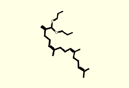 C=C(CCC=C(C)CCC=C(C)CCC=C(C)C)C(OCCC)OCCC